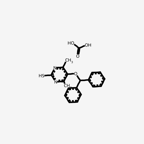 Cc1nc(S)nc(C)c1OC(c1ccccc1)c1ccccc1.O=C(O)O